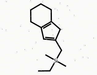 CC[Si](C)(C)CC1=CC2=C([CH]1)CCCC2